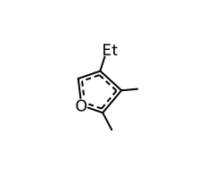 CCc1coc(C)c1C